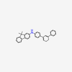 CC1(C)c2ccccc2-c2ccc(Nc3ccc(C4=CCCC(c5ccccc5)=C4)cc3)cc21